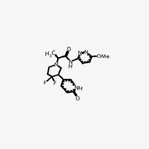 COc1ccc(NC(=O)C(C)N2CCC(F)(F)C(c3ccc(=O)[nH]c3)C2)nn1